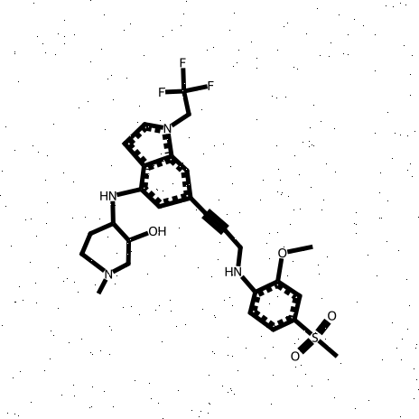 COc1cc(S(C)(=O)=O)ccc1NCC#Cc1cc(NC2CCN(C)CC2O)c2ccn(CC(F)(F)F)c2c1